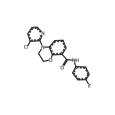 O=C(Nc1ccc(F)cc1)c1cccc2c1OCCN2c1ncccc1Cl